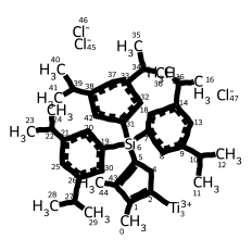 CC1=[C]([Ti+3])CC([Si](c2cc(C(C)C)cc(C(C)C)c2)(c2cc(C(C)C)cc(C(C)C)c2)c2cc(C(C)C)cc(C(C)C)c2)=C1C.[Cl-].[Cl-].[Cl-]